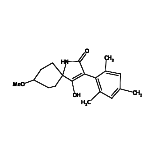 COC1CCC2(CC1)NC(=O)C(c1c(C)cc(C)cc1C)=C2O